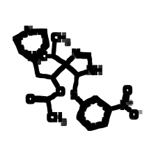 CC(=O)OC(Cc1ccncc1)C1(C(C)C)N=CNC1Sc1cccc([N+](=O)[O-])c1